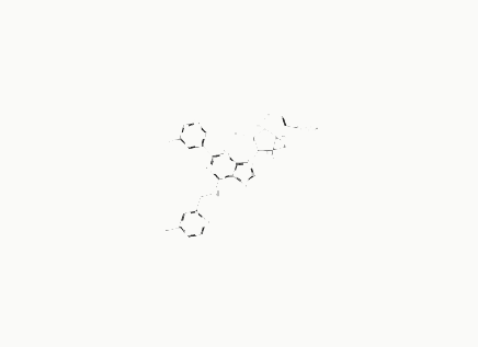 CNC(=O)[C@]12C[C@@H]1C(n1cnc3c(NCc4cc(Cl)ccn4)nc(-c4cncc(F)c4)nc31)[C@H](O)[C@@H]2O